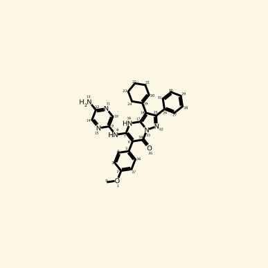 COc1ccc(-c2c(Nc3cnc(N)cn3)[nH]c3c(C4=CCCCC4)c(-c4ccccc4)nn3c2=O)cc1